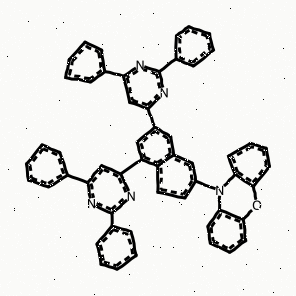 c1ccc(-c2cc(-c3cc(-c4cc(-c5ccccc5)nc(-c5ccccc5)n4)c4ccc(N5c6ccccc6Oc6ccccc65)cc4c3)nc(-c3ccccc3)n2)cc1